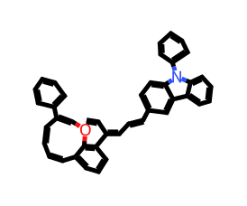 C=C/C(=C\C=C\c1ccc2c(c1)c1ccccc1n2-c1ccccc1)c1cccc2ccccc(-c3ccccc3)coc12